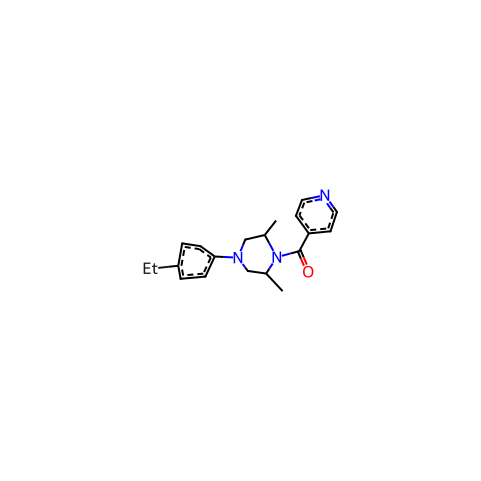 CCc1ccc(N2CC(C)N(C(=O)c3ccncc3)C(C)C2)cc1